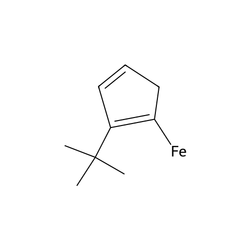 CC(C)(C)C1=[C]([Fe])CC=C1